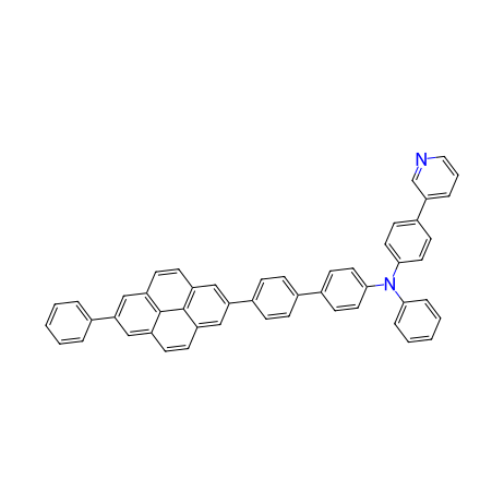 c1ccc(-c2cc3ccc4cc(-c5ccc(-c6ccc(N(c7ccccc7)c7ccc(-c8cccnc8)cc7)cc6)cc5)cc5ccc(c2)c3c45)cc1